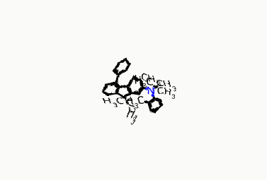 Cc1ccccc1N(c1cc2c(cc1C)-c1c(-c3ccccc3)cccc1C2(C)C)C(C)(C)C